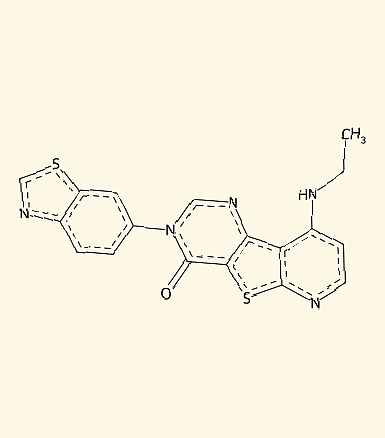 CCNc1ccnc2sc3c(=O)n(-c4ccc5ncsc5c4)cnc3c12